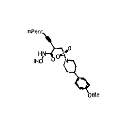 CCCCCC#CC(CS(=O)(=O)N1CCC(c2ccc(OC)cc2)CC1)C(=O)NO